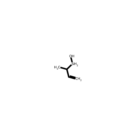 C=CC(C)[SiH2]O